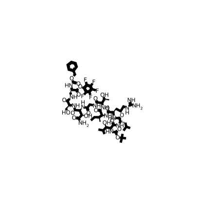 CC[C@H](C)[C@H](NC(=O)[C@@H](CCCNC(=N)N)NC(=O)[C@H](CC(C)C)NC(=O)[C@@H](NC(=O)OC(C)(C)C)[C@H](O)C(C)C)C(=O)NC(C(=O)NCC(=O)N[C@H](C(=O)N[C@@H](CO)C(=O)NC[C@H](NC(=O)OCc1ccccc1)C(=O)Oc1c(F)c(F)c(F)c(F)c1F)[C@H](O)C(N)=O)[C@H](C)O